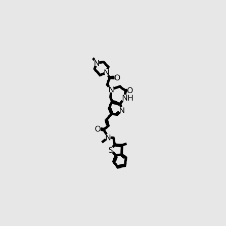 Cc1c(CN(C)C(=O)/C=C/c2cnc3c(c2)CN(CC(=O)N2CCN(C)CC2)CC(=O)N3)sc2ccccc12